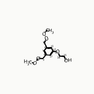 COOCc1cc(COOC)cc(OCCO)c1